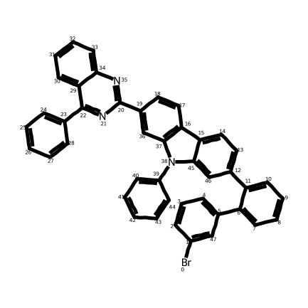 Brc1cccc(-c2ccccc2-c2ccc3c4ccc(-c5nc(-c6ccccc6)c6ccccc6n5)cc4n(-c4ccccc4)c3c2)c1